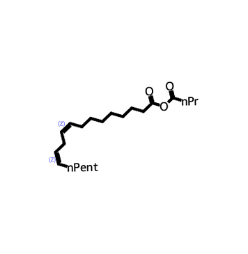 CCCCC/C=C\C/C=C\CCCCCCCC(=O)OC(=O)CCC